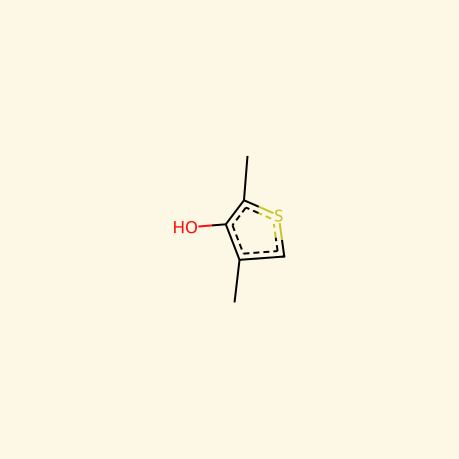 Cc1csc(C)c1O